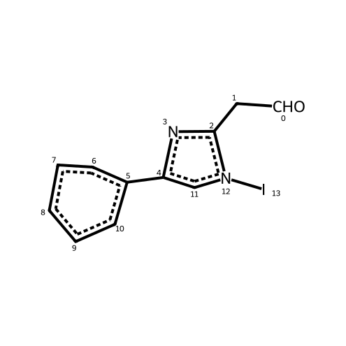 O=CCc1nc(-c2ccccc2)cn1I